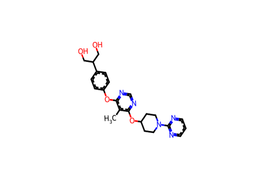 Cc1c(Oc2ccc(C(CO)CO)cc2)ncnc1OC1CCN(c2ncccn2)CC1